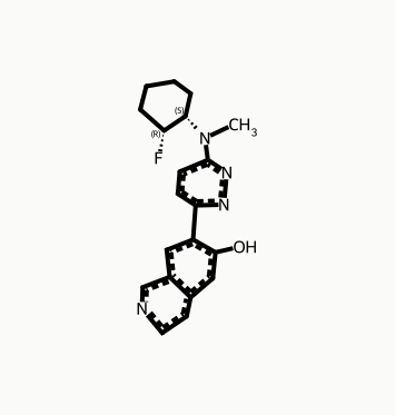 CN(c1ccc(-c2cc3cnccc3cc2O)nn1)[C@H]1CCCC[C@H]1F